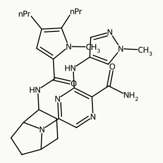 CCCc1cc(C(=O)NC2CCC3CCC2N3c2cnc(C(N)=O)c(Nc3cnn(C)c3)n2)n(C)c1CCC